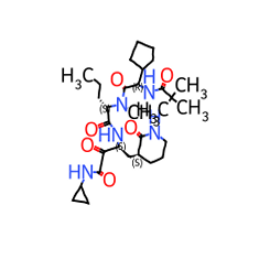 CCC[C@@H](C(=O)N[C@@H](C[C@@H]1CCCNC1=O)C(=O)C(=O)NC1CC1)N(C)C(=O)[C@H](NC(=O)C(C)(C)C)C1CCCC1